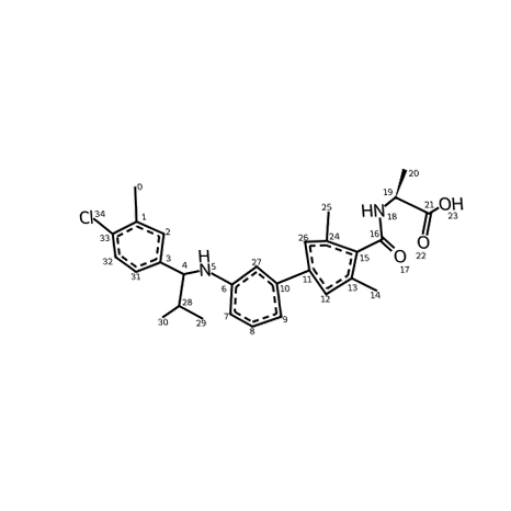 Cc1cc(C(Nc2cccc(-c3cc(C)c(C(=O)N[C@@H](C)C(=O)O)c(C)c3)c2)C(C)C)ccc1Cl